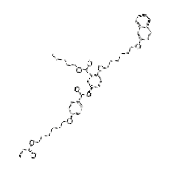 C=CC(=O)OCCCCCCOc1ccc(C(=O)Oc2ccc(OCCCCCCOc3ccc4ccccc4c3)c(C(=O)OCCCCC)c2)cc1